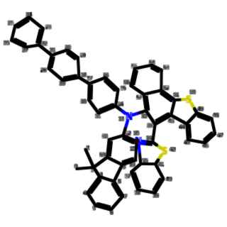 CC1(C)c2ccccc2-c2ccc(N(c3ccc(-c4ccc(-c5ccccc5)cc4)cc3)c3c(C4=NC5C=CC=CC5S4)c4c5ccccc5sc4c4ccccc34)cc21